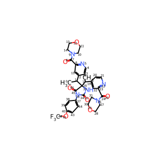 CC(c1ccnc(C(=O)N2CCOCC2)c1)C1(C(C)c2ccnc(C(=O)N3CCOCC3)c2)NC(=O)N(c2ccc(OC(F)(F)F)cc2)C1=O